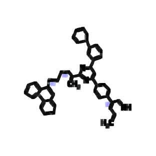 C=C/C=C(\C=N)c1ccc(-c2cc(-c3cccc(-c4ccccc4)c3)nc(C(=C)/C=C\C=C\c3cc4ccccc4c4ccccc34)n2)cc1